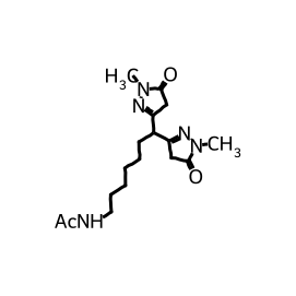 CC(=O)NCCCCCCC(C1=NN(C)C(=O)C1)C1=NN(C)C(=O)C1